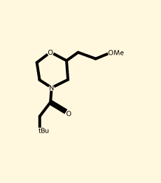 COCCC1CN(C(=O)CC(C)(C)C)CCO1